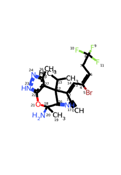 C#C/C(=C\C(Br)=C/CC(F)(F)F)C1(C(C)C)C(=N)C(C)(N)Oc2[nH]nc(C)c21